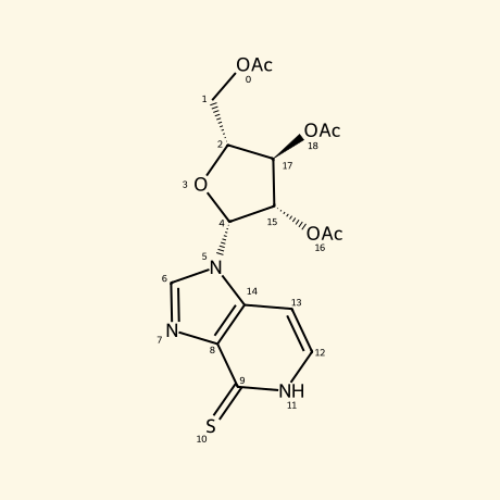 CC(=O)OC[C@H]1O[C@@H](n2cnc3c(=S)[nH]ccc32)[C@@H](OC(C)=O)[C@@H]1OC(C)=O